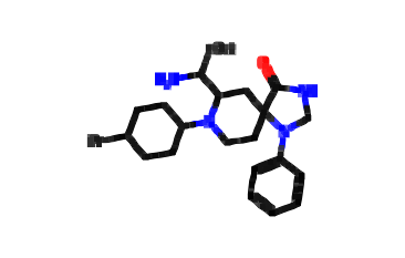 CCCCCCCCC(N)C1CC2(CCN1C1CCC(C(C)C)CC1)C(=O)NCN2c1ccccc1